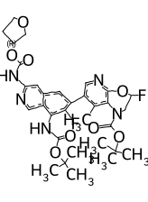 Cc1c(-c2cc3cc(NC(=O)O[C@@H]4CCOC4)ncc3c(NC(=O)OC(C)(C)C)c2F)cnc2c1N(C(=O)OC(C)(C)C)CC(F)O2